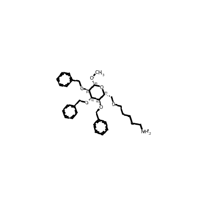 CO[C@@H]1O[C@H](COCCCCCN)[C@@H](OCc2ccccc2)[C@H](OCc2ccccc2)[C@H]1OCc1ccccc1